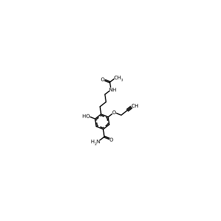 C#CCOc1cc(C(N)=O)cc(O)c1CCCNC(C)=O